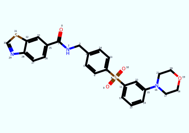 O=C(NCc1ccc(S(=O)(=O)c2cccc(N3CCOCC3)c2)cc1)c1ccc2ncsc2c1